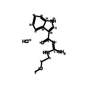 COCCNC(N)=NC(=O)c1c[nH]c2ccccc12.Cl